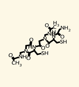 CC(=O)NCN(C[C]=O)C(=O)C(CS)NC(=O)CN(CNC(C)=O)C(=O)C(CS)NC(=O)CN